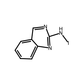 INc1ncc2ccccc2n1